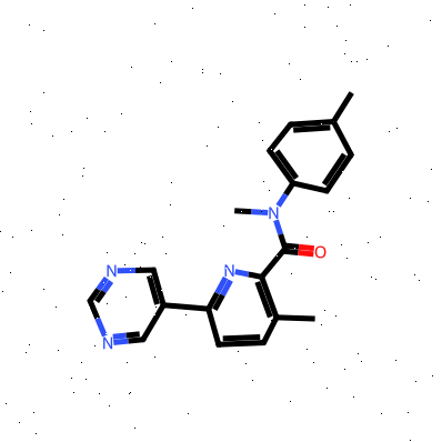 Cc1ccc(N(C)C(=O)c2nc(-c3cncnc3)ccc2C)cc1